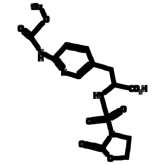 CC(C)(C)OC(=O)Nc1ccc(CC(NS(=O)(=O)N2CCOC2=O)C(=O)O)cn1